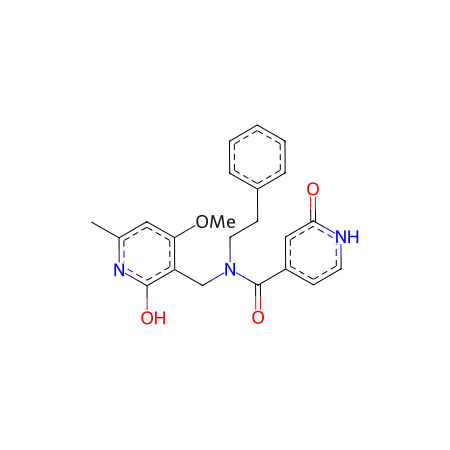 COc1cc(C)nc(O)c1CN(CCc1ccccc1)C(=O)c1cc[nH]c(=O)c1